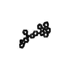 C1=CCC(C2(c3ccccc3)c3ccccc3-c3c(-c4ccc5cc(N(c6ccccc6)c6ccc7c(c6)oc6ccccc67)ccc5c4)cc4ccccc4c32)C=C1